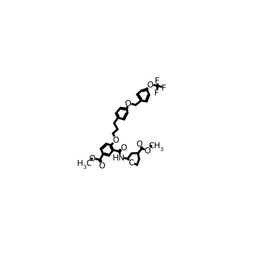 COC(=O)c1ccc(OCCCc2ccc(OCc3ccc(OC(F)(F)F)cc3)cc2)c(C(=O)NC2CCCC(C(=O)OC)C2)c1